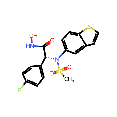 CS(=O)(=O)N(c1ccc2sccc2c1)[C@@H](C(=O)NO)c1ccc(F)cc1